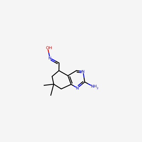 CC1(C)Cc2nc(N)ncc2C(C=NO)C1